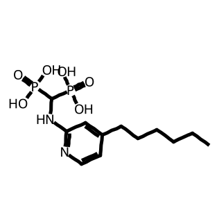 CCCCCCc1ccnc(NC(P(=O)(O)O)P(=O)(O)O)c1